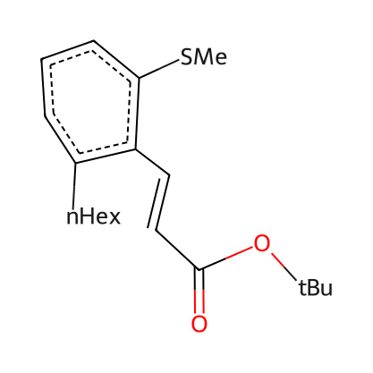 CCCCCCc1cccc(SC)c1C=CC(=O)OC(C)(C)C